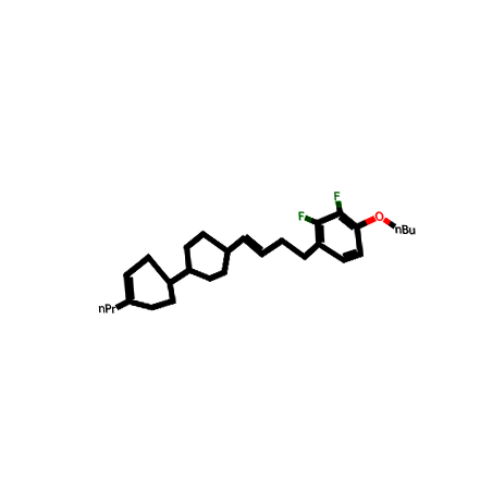 CCCCOc1ccc(CC/C=C/C2CCC(C3CC=C(CCC)CC3)CC2)c(F)c1F